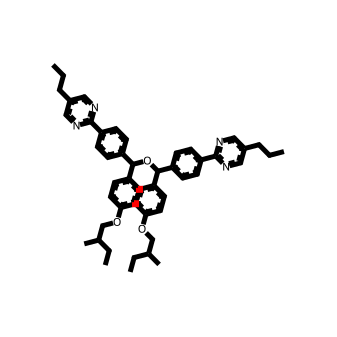 CCCc1cnc(-c2ccc(C(OC(c3ccc(OCC(C)CC)cc3)c3ccc(-c4ncc(CCC)cn4)cc3)c3ccc(OCC(C)CC)cc3)cc2)nc1